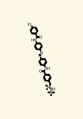 CCc1ccc(C(=O)Nc2ccc(/N=N/c3ccc(NC(=O)c4ccc(C[N+](C)(C)B[N+](C)(C)C)cc4)cc3)cc2)cc1